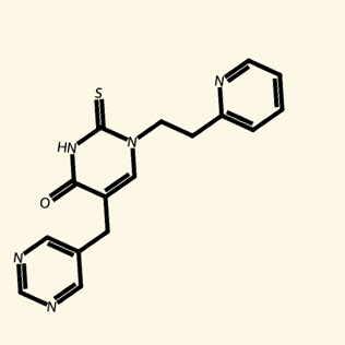 O=c1[nH]c(=S)n(CCc2ccccn2)cc1Cc1cncnc1